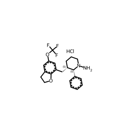 Cl.NN1CCC[C@@H](Cc2cc(OC(F)(F)F)cc3c2OCC3)[C@H]1c1ccccc1